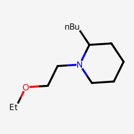 CCCCC1CCCCN1CCOCC